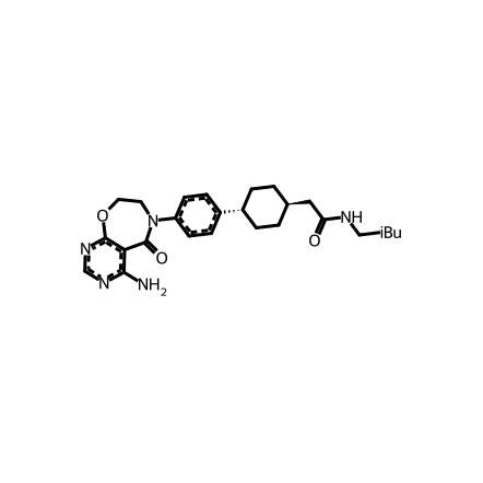 CCC(C)CNC(=O)C[C@H]1CC[C@H](c2ccc(N3CCOc4ncnc(N)c4C3=O)cc2)CC1